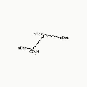 CCCCCCCCCCCCCCCCCCC(CCCCCC)CCCCCCCCCC(CCCCCCCCCCCC)C(=O)O